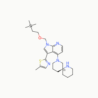 Cc1cnc(-c2cn(COCC[Si](C)(C)C)c3nccc(N4CCC[C@@]5(CCCCN5)C4)c23)s1